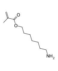 C=C(C)C(=O)OCCCCCCCN